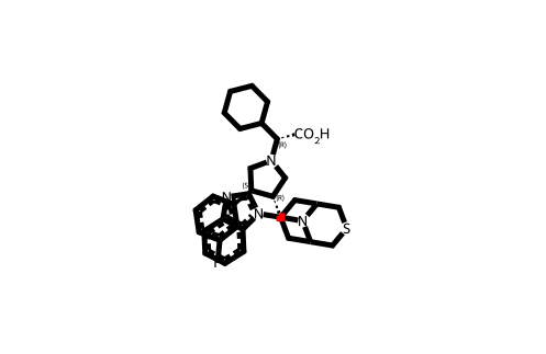 O=C(O)[C@@H](C1CCCCC1)N1C[C@H](CN2C3CSCC2CC(n2cnc4ccccc42)C3)[C@@H](c2cccc(F)c2)C1